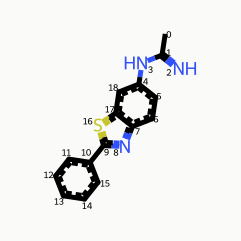 CC(=N)Nc1ccc2nc(-c3ccccc3)sc2c1